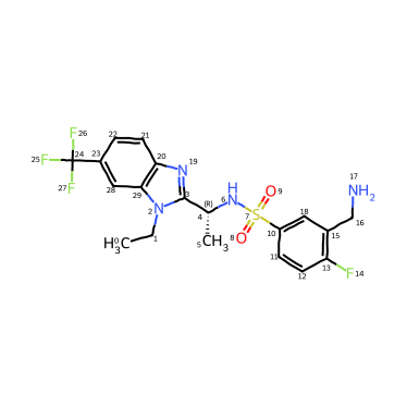 CCn1c([C@@H](C)NS(=O)(=O)c2ccc(F)c(CN)c2)nc2ccc(C(F)(F)F)cc21